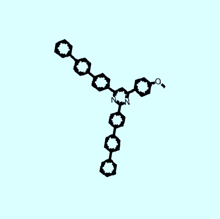 COc1ccc(-c2cc(-c3ccc(-c4ccc(-c5ccccc5)cc4)cc3)nc(-c3ccc(-c4ccc(-c5ccccc5)cc4)cc3)n2)cc1